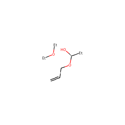 C=CCOC(O)CC.CCOCC